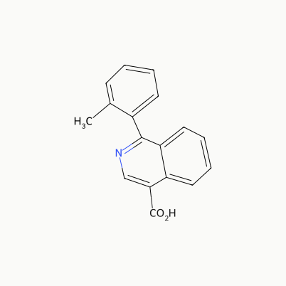 Cc1ccccc1-c1ncc(C(=O)O)c2ccccc12